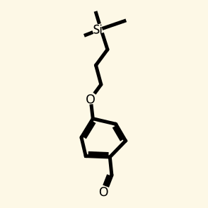 C[Si](C)(C)CCCOc1ccc(C=O)cc1